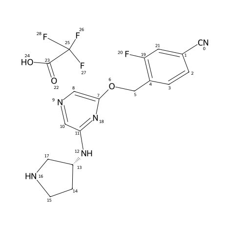 N#Cc1ccc(COc2cncc(N[C@@H]3CCNC3)n2)c(F)c1.O=C(O)C(F)(F)F